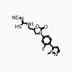 Cn1nccc1-c1ccc(N2CC(CNC(S)=NC#N)OC2=O)cc1F